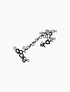 Cc1ncsc1-c1ccc([C@H](C)NC(=O)[C@@H]2C[C@@H](O)CN2C(=O)[C@@H](NC(=O)COCCOCCOCCOCC(=O)S[C@@H]2CC3=CC(=O)CCC3(C)C3CCC(C)([C@@]4(C)CCC(=O)O4)CC32)C(C)(C)C)cc1